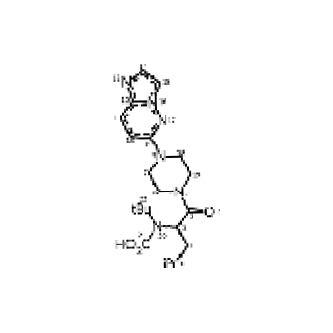 CC(C)CC(C(=O)N1CCN(c2ccc3nccn3n2)CC1)N(C(=O)O)C(C)(C)C